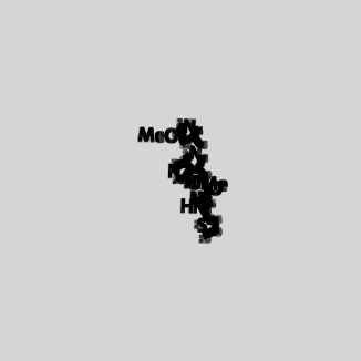 COc1cncc(CN(CCCNC(=O)c2cc(-c3cccs3)[nH]n2)Cc2cncc(OC)c2)c1